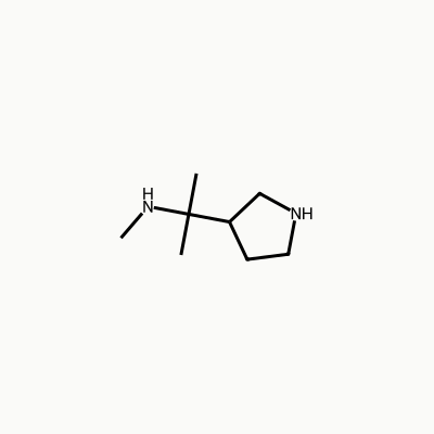 CNC(C)(C)C1CCNC1